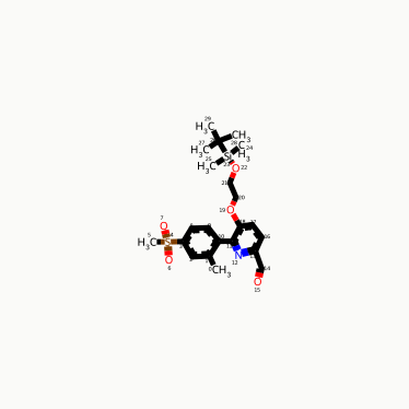 Cc1cc(S(C)(=O)=O)ccc1-c1nc(C=O)ccc1OCCO[Si](C)(C)C(C)(C)C